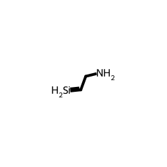 NCC=[SiH2]